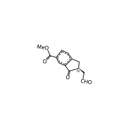 COC(=O)c1ccc2c(c1)C(=O)[C@H](CC=O)C2